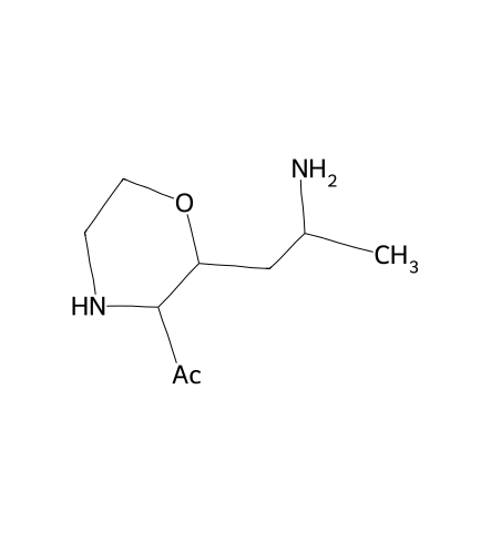 CC(=O)C1NCCOC1CC(C)N